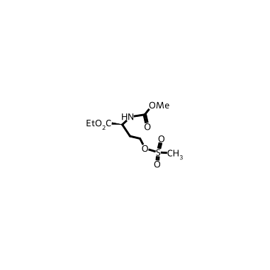 CCOC(=O)[C@H](CCOS(C)(=O)=O)NC(=O)OC